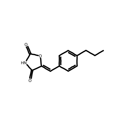 CCCc1ccc(/C=C2\OC(=O)NC2=O)cc1